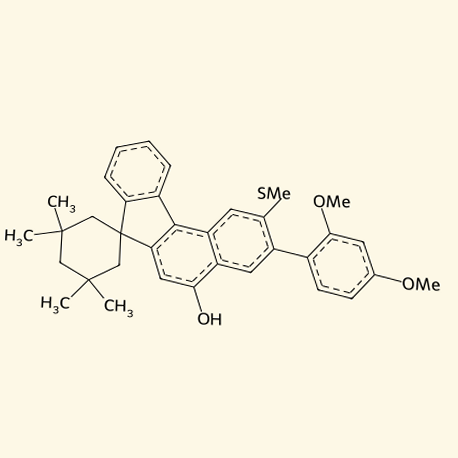 COc1ccc(-c2cc3c(O)cc4c(c3cc2SC)-c2ccccc2C42CC(C)(C)CC(C)(C)C2)c(OC)c1